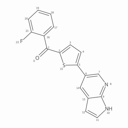 O=C(c1ccc(-c2cnc3[nH]ccc3c2)s1)c1ccccc1F